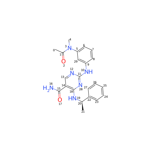 CC(=O)N(C)c1cccc(Nc2ncc(C(N)=O)c(N[C@H](C)c3ccccc3)n2)c1